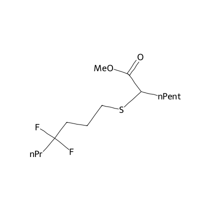 CCCCCC(SCCCC(F)(F)CCC)C(=O)OC